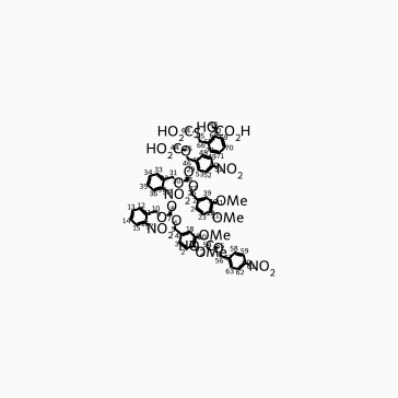 COc1ccc(COC(=O)OCc2ccccc2[N+](=O)[O-])cc1OC.COc1ccc(COC(=O)OCc2ccccc2[N+](=O)[O-])cc1OC.O=C(O)O.O=C(O)OCc1ccc([N+](=O)[O-])cc1.O=C(O)OCc1ccc([N+](=O)[O-])cc1.O=C(O)SCc1ccccc1